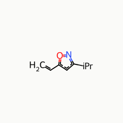 C=Cc1cc(C(C)C)no1